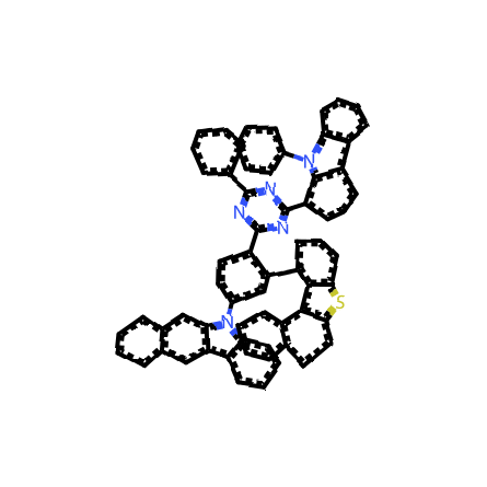 c1ccc(-c2nc(-c3ccc(-n4c5ccccc5c5cc6ccccc6cc54)cc3-c3cccc4sc5ccc6ccccc6c5c34)nc(-c3cccc4c5ccccc5n(-c5ccccc5)c34)n2)cc1